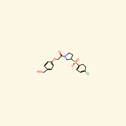 O=C(COc1ccc(CO)cc1)N1CCC(S(=O)(=O)C2=CC=C(Cl)CC2)C1